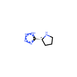 C1CN[C@@H](c2nnn[nH]2)C1